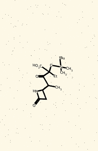 CCC(O[Si](C)(C)C(C)(C)C)(C(=O)O)C(=O)C(C)C1CC(=O)N1